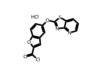 Cl.O=C(Cl)c1cc2cc(Oc3nc4ncccc4s3)ccc2o1